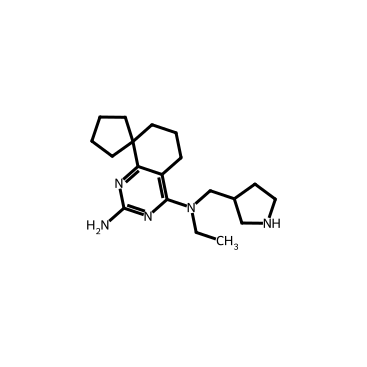 CCN(CC1CCNC1)c1nc(N)nc2c1CCCC21CCCC1